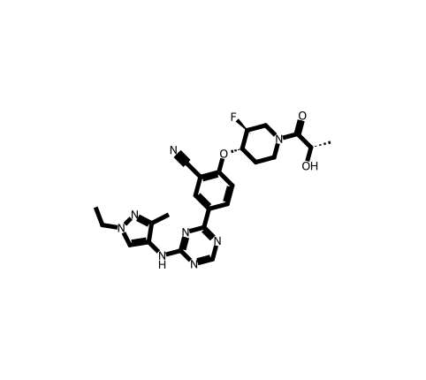 CCn1cc(Nc2ncnc(-c3ccc(O[C@H]4CCN(C(=O)[C@H](C)O)C[C@@H]4F)c(C#N)c3)n2)c(C)n1